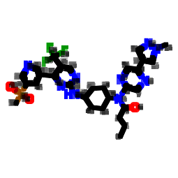 CCCC(=O)N(c1cnc(-c2cnn(C)c2)cn1)C1CCC(Nc2ncc(C(F)(F)F)c(-c3cncc(S(C)(=O)=O)c3)n2)CC1